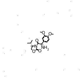 COc1ccc([C@H](N)C(=O)N2C(=O)OC[C@@H]2C(C)C)cc1OC